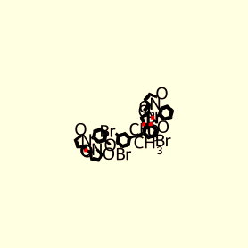 CC(C)(c1cc(Br)c(Oc2cccc(N3C(=O)C=CC3=O)c2N2C(=O)C=CC2=O)c(Br)c1)c1cc(Br)c(Oc2cccc(N3C(=O)C=CC3=O)c2N2C(=O)C=CC2=O)c(Br)c1